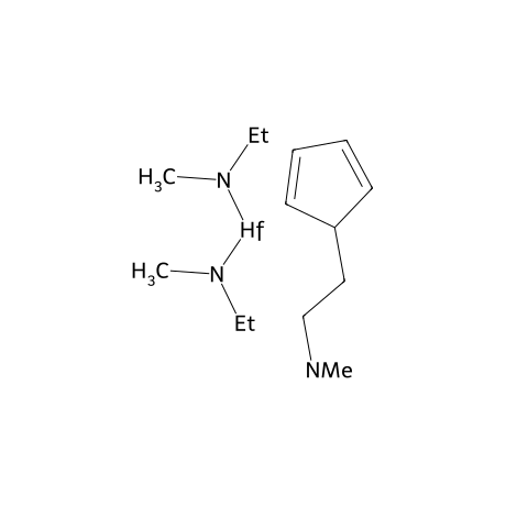 CC[N](C)[Hf][N](C)CC.CNCCC1C=CC=C1